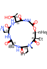 CCCCCCC[C@H]1OC(=O)CNC(=O)[C@H]([C@H](C)O)NC(=O)[C@H](CN)NC(=O)[C@H]([C@H](C)CC)NC(=O)[C@H](CC(C)C)N(C)C(=O)[C@@H]1CC